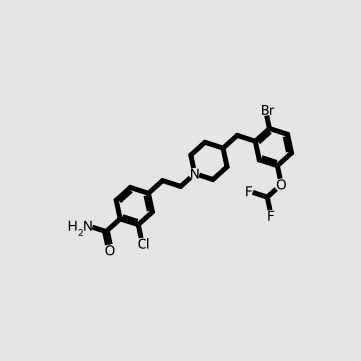 NC(=O)c1ccc(CCN2CCC(Cc3cc(OC(F)F)ccc3Br)CC2)cc1Cl